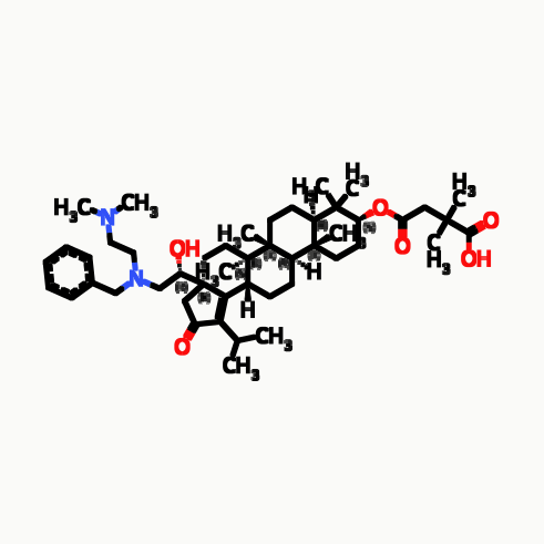 CC(C)C1=C2[C@H]3CC[C@@H]4[C@@]5(C)CC[C@H](OC(=O)CC(C)(C)C(=O)O)C(C)(C)[C@@H]5CC[C@@]4(C)[C@]3(C)CC[C@@]2([C@@H](O)CN(CCN(C)C)Cc2ccccc2)CC1=O